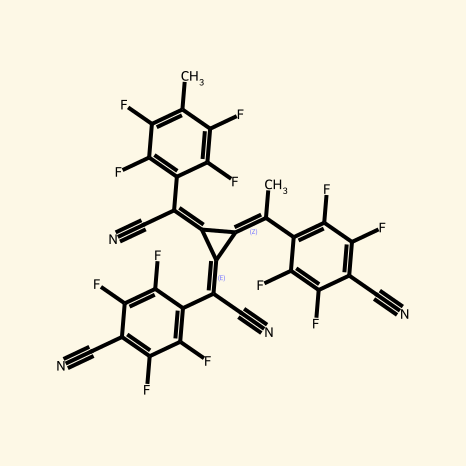 C/C(=C1\C(=C(C#N)c2c(F)c(F)c(C)c(F)c2F)\C1=C(\C#N)c1c(F)c(F)c(C#N)c(F)c1F)c1c(F)c(F)c(C#N)c(F)c1F